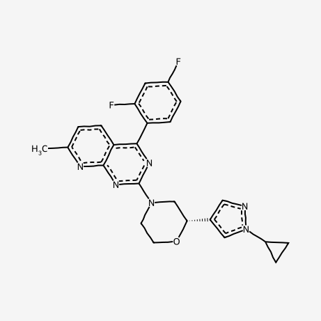 Cc1ccc2c(-c3ccc(F)cc3F)nc(N3CCO[C@@H](c4cnn(C5CC5)c4)C3)nc2n1